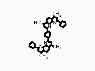 Cc1cc(-c2ccccc2)nc2c1ccc1c(C)cc(-c3ccc(-c4cc(C)c5ccc6c(C)cc(-c7ccccc7)nc6c5n4)cc3)nc12